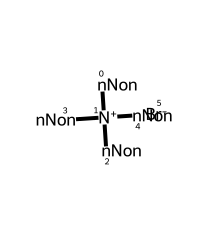 CCCCCCCCC[N+](CCCCCCCCC)(CCCCCCCCC)CCCCCCCCC.[Br-]